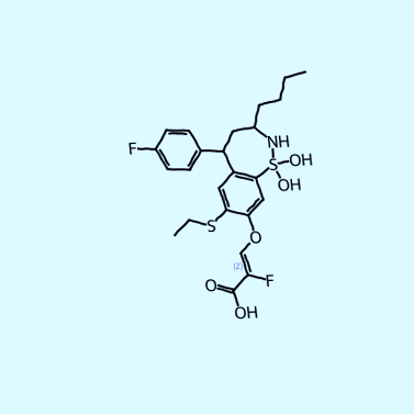 CCCCC1CC(c2ccc(F)cc2)c2cc(SCC)c(O/C=C(\F)C(=O)O)cc2S(O)(O)N1